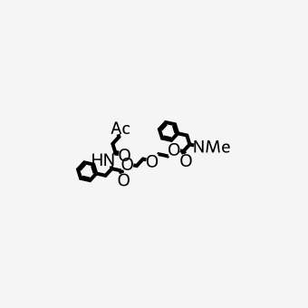 CNC(Cc1ccccc1)C(=O)OCCOCCOC(=O)C(Cc1ccccc1)NC(=O)CCC(C)=O